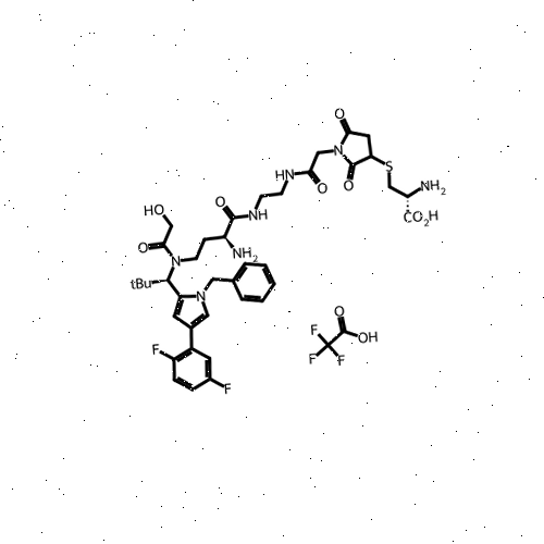 CC(C)(C)[C@H](c1cc(-c2cc(F)ccc2F)cn1Cc1ccccc1)N(CC[C@H](N)C(=O)NCCNC(=O)CN1C(=O)CC(SC[C@H](N)C(=O)O)C1=O)C(=O)CO.O=C(O)C(F)(F)F